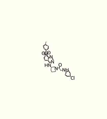 Cc1ccc(S(=O)(=O)n2ccc3c(NC4CCCN(C(=O)CNc5ccc(Cl)cc5)C4)ncnc32)cc1